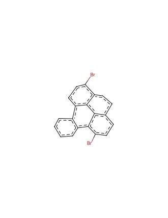 Brc1ccc2c3ccccc3c3c(Br)ccc4ccc1c2c43